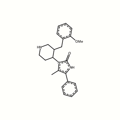 COc1ccccc1CC1CNCCC1n1c(C)c(-c2ccccc2)[nH]c1=O